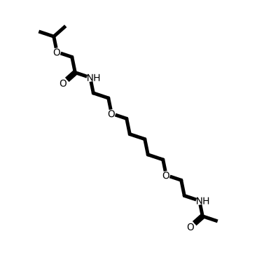 CC(=O)NCCOCCCCCOCCNC(=O)COC(C)C